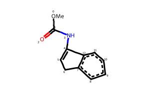 COC(=O)NC1=CCc2ccccc21